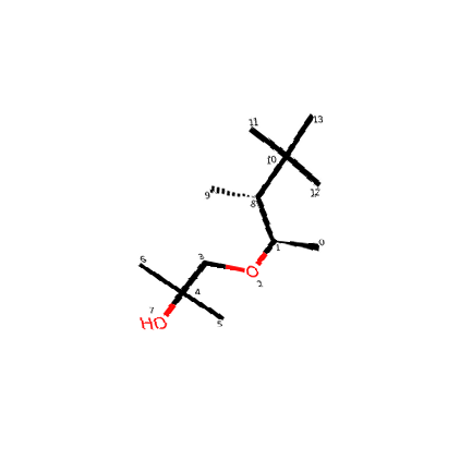 C[C@@H](OCC(C)(C)O)[C@H](C)C(C)(C)C